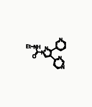 CCNC(=O)n1cc(-c2ccncn2)c(-c2cccnc2)n1